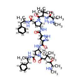 CN[C@@H](C)C(=O)C[C@H](C(=O)N1CC(NC(=O)c2cc(C(=O)NC3C[C@@H](C(=O)N[C@H](C)Cc4ccccc4)N(C(=O)[C@@H](NC(=O)[C@H](C)NC)C(C)(C)C)C3)[nH]n2)C[C@H]1C(=O)N[C@H](C)Cc1ccccc1)C(C)(C)C